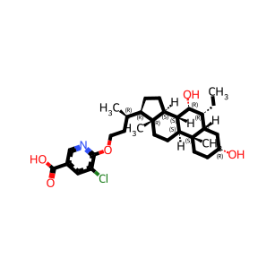 CC[C@H]1[C@@H](O)[C@@H]2[C@H](CC[C@]3(C)[C@@H]([C@H](C)CCOc4ncc(C(=O)O)cc4Cl)CC[C@@H]23)[C@@]2(C)CC[C@@H](O)C[C@@H]12